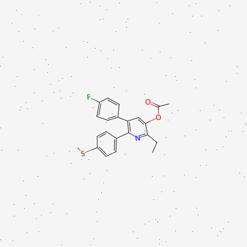 CCc1nc(-c2ccc(SC)cc2)c(-c2ccc(F)cc2)cc1OC(C)=O